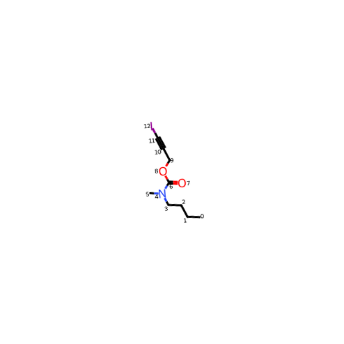 CCCCN(C)C(=O)OCC#CI